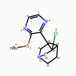 CCCCSc1nccnc1C1(Cl)CN2CCC1CC2